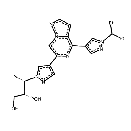 CCC(CC)n1cc(-c2nc(-c3cnn([C@@H](C)[C@H](O)CO)c3)cn3nccc23)cn1